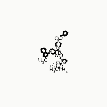 Cc1cc(N2CCc3c(nc(OC[C@@H]4CCCN4C(=O)OC(C)(C)C)nc3N3CCN(C(=O)OCc4ccccc4)CC3)C2)c2ccccc2c1